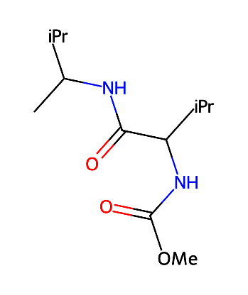 COC(=O)NC(C(=O)NC(C)C(C)C)C(C)C